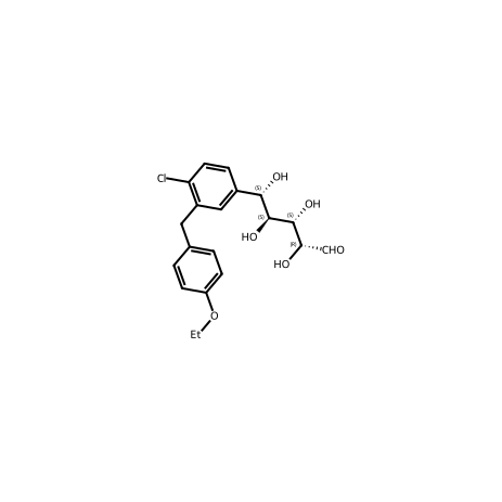 CCOc1ccc(Cc2cc([C@H](O)[C@H](O)[C@H](O)[C@@H](O)C=O)ccc2Cl)cc1